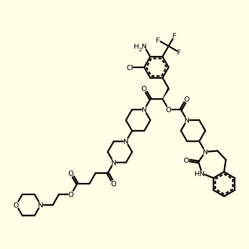 Nc1c(Cl)cc(C[C@@H](OC(=O)N2CCC(N3CCc4ccccc4NC3=O)CC2)C(=O)N2CCC(N3CCN(C(=O)CCC(=O)OCCN4CCOCC4)CC3)CC2)cc1C(F)(F)F